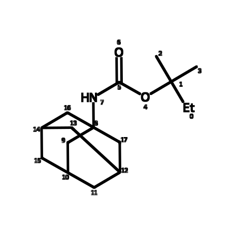 CCC(C)(C)OC(=O)NC12CC3CC(CC(C3)C1)C2